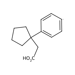 O=C(O)CC1(c2cc[c]cc2)CCCC1